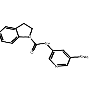 CSc1cncc(NC(=O)N2CCc3ccccc32)c1